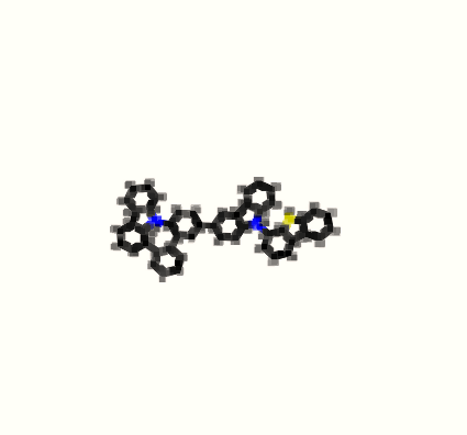 c1ccc2c(c1)-c1cc(-c3ccc4c(c3)c3ccccc3n4-c3cccc4c3sc3ccccc34)ccc1-n1c3ccccc3c3cccc-2c31